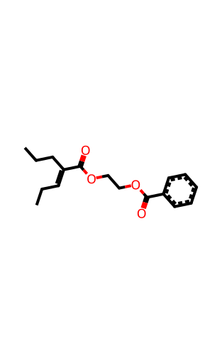 CCC=C(CCC)C(=O)OCCOC(=O)c1ccccc1